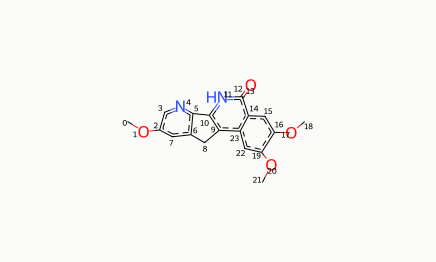 COc1cnc2c(c1)Cc1c-2[nH]c(=O)c2cc(OC)c(OC)cc12